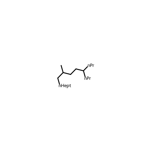 CCCCC[CH]CCC(C)CCC(CCC)CCC